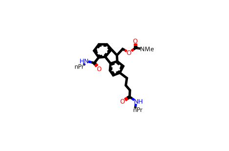 CCCNC(=O)CCCc1ccc2c(c1)C(COC(=O)NC)c1cccc(C(=O)NCCC)c1-2